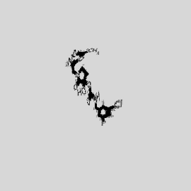 Cc1nnc(CN2CCC(O)(OC(=O)NCc3cc(F)cc(Cl)c3)C2=O)o1